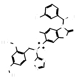 COc1ccc(CN(c2ncns2)S(=O)(=O)c2cc3oc(=O)n([C@H](C)c4cccc(Br)c4)c3cc2F)c(OC)c1